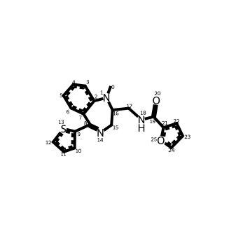 CN1c2ccccc2C(c2cccs2)=NCC1CNC(=O)c1ccco1